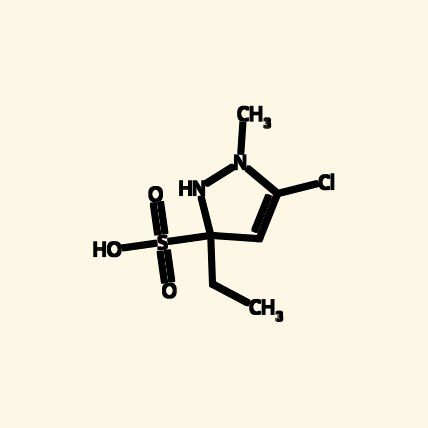 CCC1(S(=O)(=O)O)C=C(Cl)N(C)N1